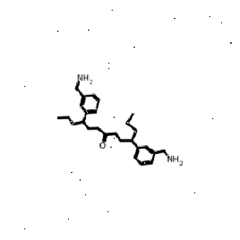 CCCC(CCC(=O)CCC(CCC)c1cccc(CN)c1)c1cccc(CN)c1